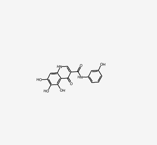 O=C(Nc1cccc(O)c1)c1c[nH]c2cc(O)c(O)c(O)c2c1=O